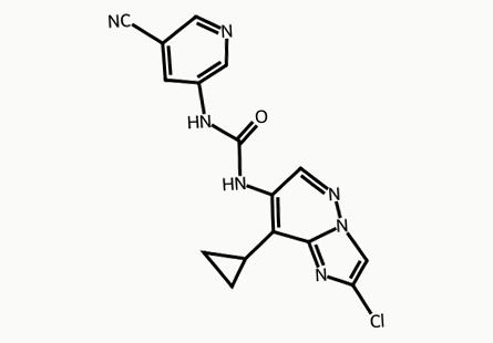 N#Cc1cncc(NC(=O)Nc2cnn3cc(Cl)nc3c2C2CC2)c1